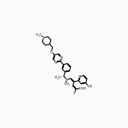 C[C@H](c1cccc(-c2ncc(OCC3CCN(C)CC3)cn2)c1)N(C)/C=C(\C=C(\F)C=O)c1cc(C#N)ccn1